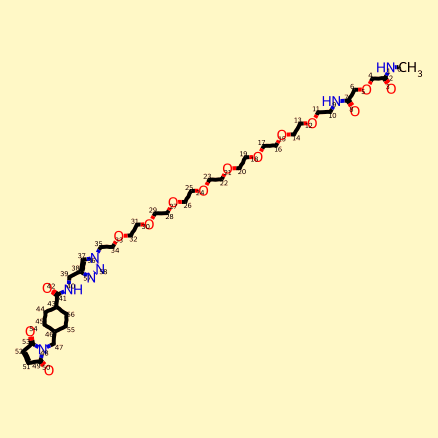 CNC(=O)COCC(=O)NCCOCCOCCOCCOCCOCCOCCOCCOCCn1cc(CNC(=O)C2CCC(CN3C(=O)C=CC3=O)CC2)nn1